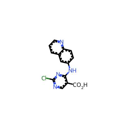 O=C(O)c1cnc(Cl)nc1Nc1ccc2ncccc2c1